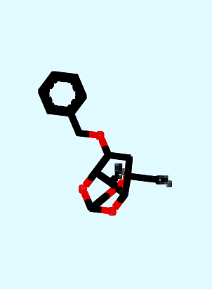 CC1C2OC3OC1C(OCc1ccccc1)C(O3)C2C